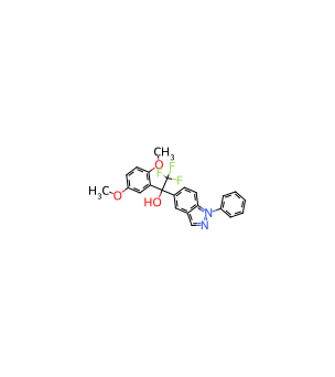 COc1ccc(OC)c(C(O)(c2ccc3c(cnn3-c3ccccc3)c2)C(F)(F)F)c1